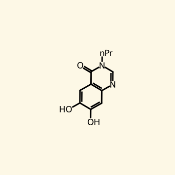 CCCn1cnc2cc(O)c(O)cc2c1=O